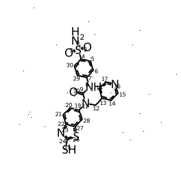 NS(=O)(=O)c1ccc(NC(=O)N(Cc2ccncc2)c2ccc3nc(S)sc3c2)cc1